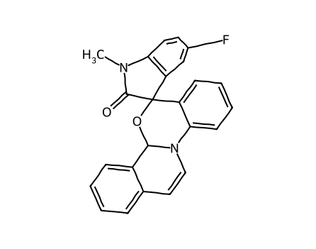 CN1C(=O)C2(OC3c4ccccc4C=CN3c3ccccc32)c2cc(F)ccc21